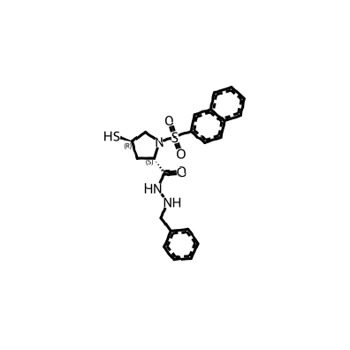 O=C(NNCc1ccccc1)[C@@H]1C[C@@H](S)CN1S(=O)(=O)c1ccc2ccccc2c1